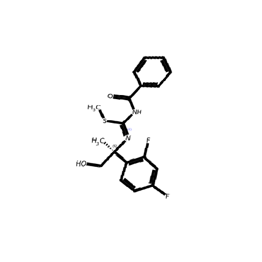 CS/C(=N\[C@](C)(CO)c1ccc(F)cc1F)NC(=O)c1ccccc1